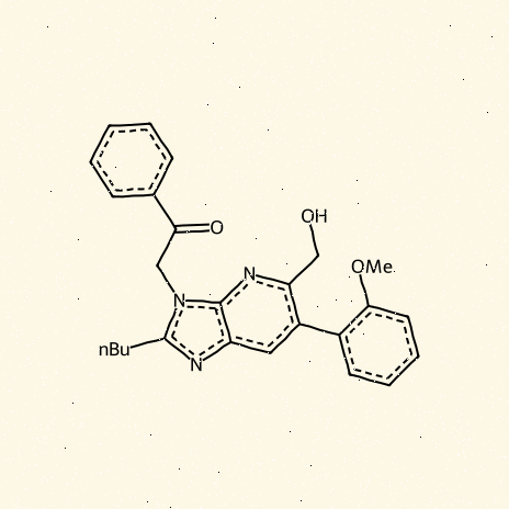 CCCCc1nc2cc(-c3ccccc3OC)c(CO)nc2n1CC(=O)c1ccccc1